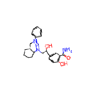 CN(CC1CCCCC1NCC(O)c1ccc(O)c(C(N)=O)c1)c1ccccc1